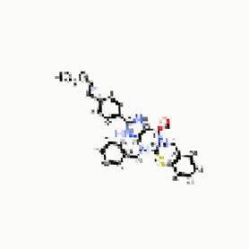 O=C(O)/C=C/c1ccc(-c2nc3c(=O)n(Cc4ccccc4)c(=S)n(Cc4ccccc4)c3[nH]2)cc1